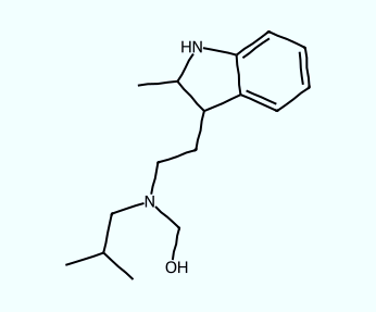 CC(C)CN(CO)CCC1c2ccccc2NC1C